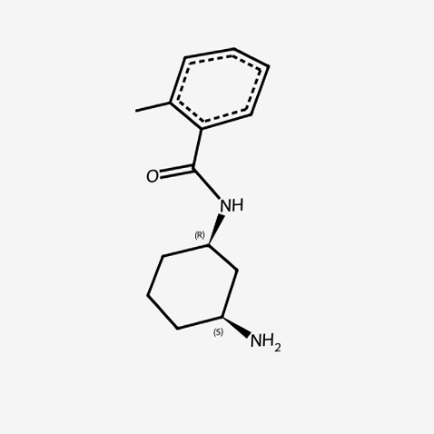 Cc1ccccc1C(=O)N[C@@H]1CCC[C@H](N)C1